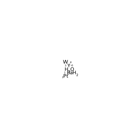 O.[BaH2].[Pt].[W].[Y]